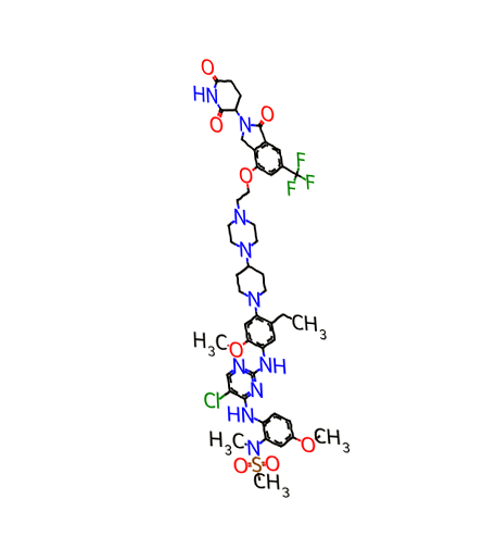 CCc1cc(Nc2ncc(Cl)c(Nc3ccc(OC)cc3N(C)S(C)(=O)=O)n2)c(OC)cc1N1CCC(N2CCN(CCOc3cc(C(F)(F)F)cc4c3CN(C3CCC(=O)NC3=O)C4=O)CC2)CC1